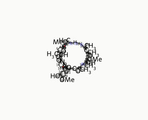 CO[C@H]1C[C@@H]2CC[C@@H](C)[C@@](O)(O2)C(=O)C(=O)N2CCCC3[C@H](C[C@@H]4CC[C@@H](O)[C@H](OC)C4)C(CC(=O)[C@H](C)/C=C(\C)[C@H](O)[C@H](OC)C(=O)[C@H](C)C[C@H](C)/C=C/C=C/C=C/1C)OC(=O)[C@H]32